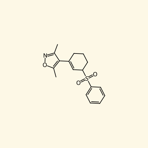 Cc1noc(C)c1C1=CC(S(=O)(=O)c2ccccc2)CCC1